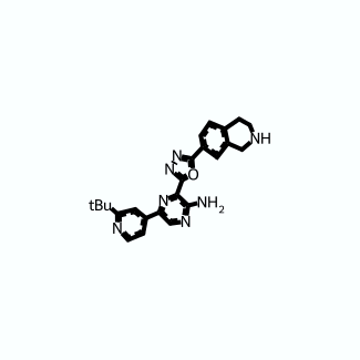 CC(C)(C)c1cc(-c2cnc(N)c(-c3nnc(-c4ccc5c(c4)CNCC5)o3)n2)ccn1